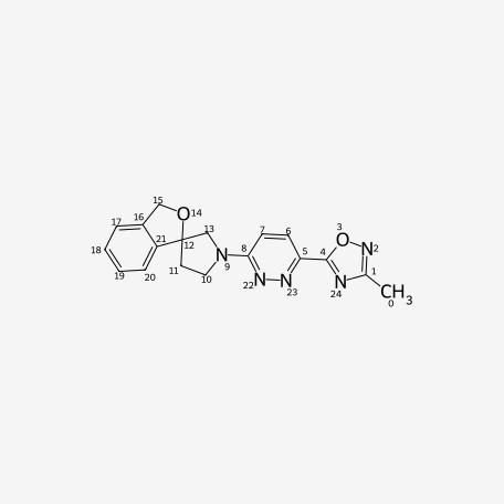 Cc1noc(-c2ccc(N3CCC4(C3)OCc3ccccc34)nn2)n1